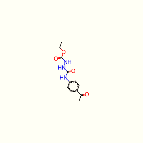 CCOC(=O)NNC(=O)Nc1ccc(C(C)=O)cc1